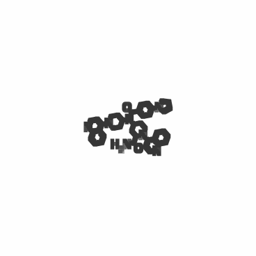 NC(=O)C1CC(N(C(=O)c2ccc(-n3cccc3)cc2)C2CCN(c3ccnc4ccccc34)CC2)CCN1c1ccnc2ccccc12